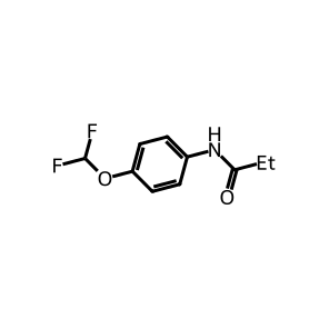 CCC(=O)Nc1ccc(OC(F)F)cc1